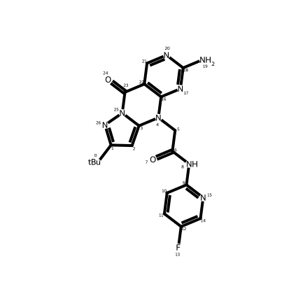 CC(C)(C)c1cc2n(CC(=O)Nc3ccc(F)cn3)c3nc(N)ncc3c(=O)n2n1